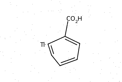 O=C(O)c1ccccc1.[Tl]